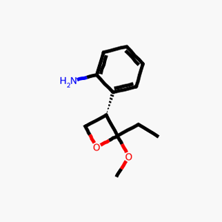 CCC1(OC)OC[C@@H]1c1ccccc1N